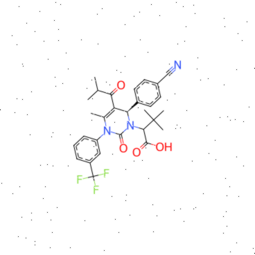 CC1=C(C(=O)C(C)C)[C@@H](c2ccc(C#N)cc2)N(C(C(=O)O)C(C)(C)C)C(=O)N1c1cccc(C(F)(F)F)c1